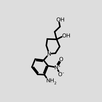 Nc1cccc(N2CCC(O)(CCO)CC2)c1[N+](=O)[O-]